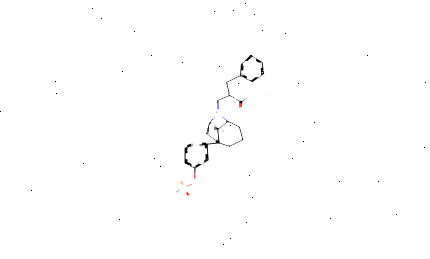 COC(=O)C(Cc1ccccc1)CN1CCC2(c3cccc(OS(=O)(=O)C(F)(F)F)c3)CCCC1[C@@H]2C